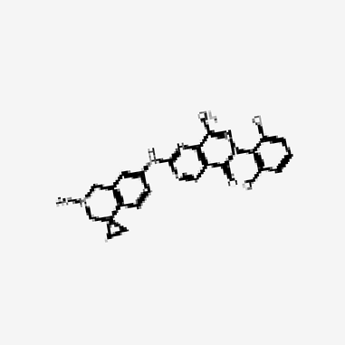 CC(=O)N1Cc2cc(Nc3ncc4c(=O)n(-c5c(Cl)cccc5Cl)nc(C)c4n3)ccc2C2(CC2)C1